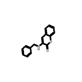 O=c1oc2ccccc2cc1NCc1ccccc1